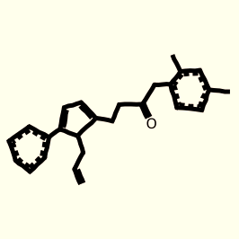 C=CCC1C(CCC(=O)Cc2ccc(C)cc2C)=CC=C1c1ccccc1